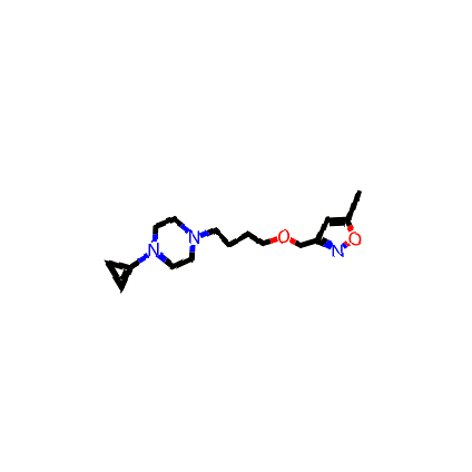 Cc1cc(COCCCCN2CCN(C3=CC3)CC2)no1